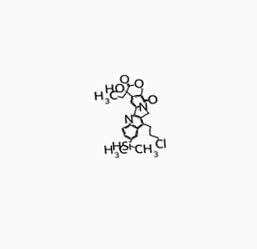 CC[C@@]1(O)C(=O)OCc2c1cc1n(c2=O)Cc2c-1nc1ccc([SiH](C)C)cc1c2CCCCl